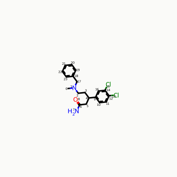 CN(CCC(CC(N)=O)c1ccc(Cl)c(Cl)c1)Cc1ccccc1